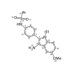 CCn1c(-c2ccc(NS(=O)(=O)C(C)C)cc2)c(N)c2cc(OC)ccc21